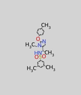 CCn1c(C(C)NS(=O)(=O)c2cc(C)cc(C)c2)cnc1Oc1ccc(C)cc1